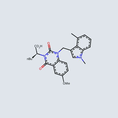 CCCC[C@@H](C(=O)O)n1c(=O)c2cc(OC)ccc2n(Cc2cn(C)c3cccc(C)c23)c1=O